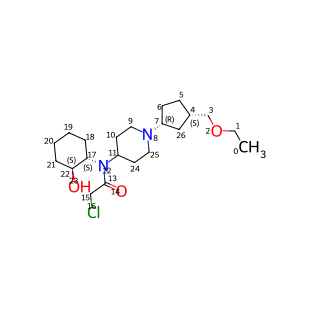 CCOC[C@H]1CC[C@@H](N2CCC(N(C(=O)CCl)[C@H]3CCCC[C@@H]3O)CC2)C1